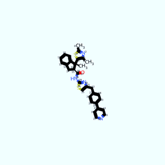 Cc1nc(C)c([C@@]2(C)c3ccccc3C[C@@H]2C(=O)Nc2nc(Cc3ccc(-c4ccncc4)cc3)cs2)s1